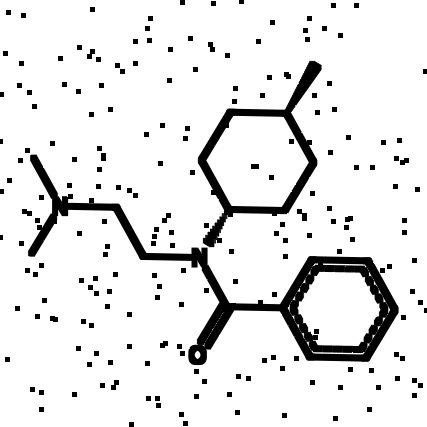 CN(C)CCN(C(=O)c1ccccc1)[C@H]1CC[C@H](C)CC1